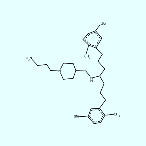 Cc1ccc(C(C)(C)C)cc1CCCC(CCCc1cc(C(C)(C)C)ccc1C)NCC1CCN(CCCN)CC1